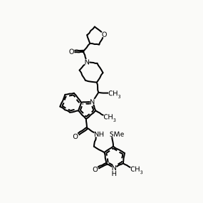 CSc1cc(C)[nH]c(=O)c1CNC(=O)c1c(C)n(C(C)C2CCN(C(=O)C3CCOC3)CC2)c2ccccc12